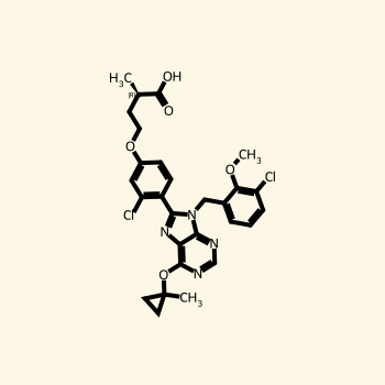 COc1c(Cl)cccc1Cn1c(-c2ccc(OCC[C@@H](C)C(=O)O)cc2Cl)nc2c(OC3(C)CC3)ncnc21